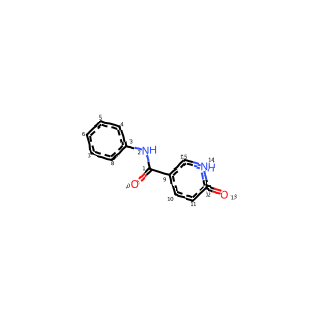 O=C(Nc1ccccc1)c1ccc(=O)[nH]c1